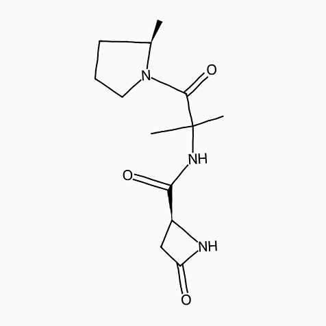 C[C@@H]1CCCN1C(=O)C(C)(C)NC(=O)[C@@H]1CC(=O)N1